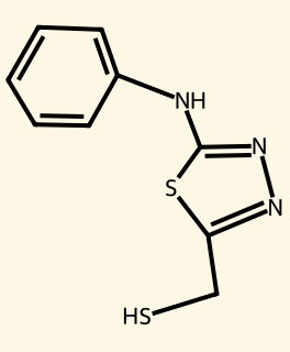 SCc1nnc(Nc2ccccc2)s1